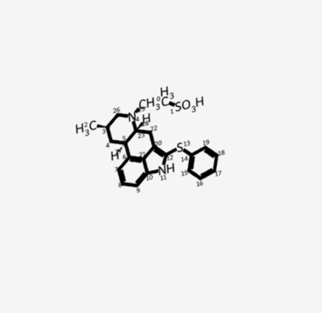 CS(=O)(=O)O.C[C@@H]1C[C@@H]2c3cccc4[nH]c(Sc5ccccc5)c(c34)C[C@H]2N(C)C1